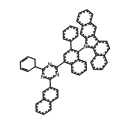 C1=CCC(c2nc(-c3ccc4ccccc4c3)nc(-c3cc(-c4ccccc4)c(-n4c5cc6ccccc6cc5c5ccc6ccccc6c54)c4ccccc34)n2)C=C1